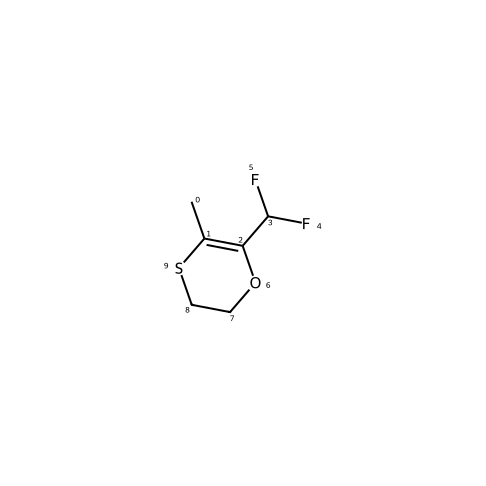 CC1=C(C(F)F)OCCS1